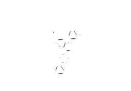 Cc1cc(Nc2cc(S(N)(=O)=O)ncc2C(=O)N2CCC(c3ccc(F)cc3)CC2)ccc1F